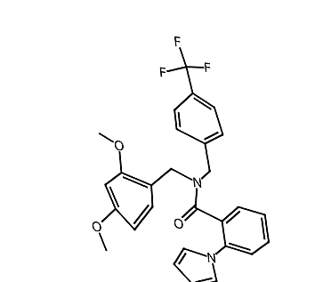 COc1ccc(CN(Cc2ccc(C(F)(F)F)cc2)C(=O)c2ccccc2-n2cccc2)c(OC)c1